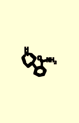 NC(=O)c1ccccc1C1=CC=CNC=C1